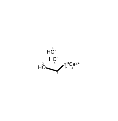 CCCCO.[Ca+2].[OH-].[OH-]